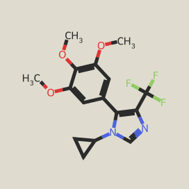 COc1cc(-c2c(C(F)(F)F)ncn2C2CC2)cc(OC)c1OC